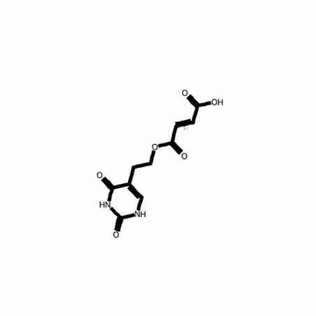 O=C(O)/C=C/C(=O)OCCc1c[nH]c(=O)[nH]c1=O